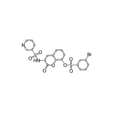 O=c1oc2c(OS(=O)(=O)c3cccc(Br)c3)cccc2cc1NS(=O)(=O)c1cccnc1